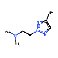 CC(=O)N(C)CCn1ncc(C(C)C)n1